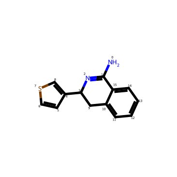 NC1=NC(c2ccsc2)Cc2ccccc21